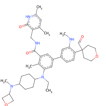 CCN(c1cc(-c2ccc(C3(C=O)CCOCC3)c(NC)c2)cc(C(=O)NCc2c(C)cc(C)[nH]c2=O)c1C)C1CCC(N(C)C2COC2)CC1